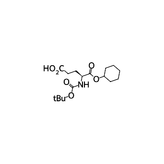 CC(C)(C)OC(=O)N[C@@H](CCC(=O)O)C(=O)OC1CCCCC1